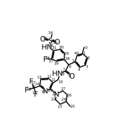 Cc1cccc(C(C(=O)NCc2ccc(C(F)(F)F)nc2N2CCC(C)CC2)c2ccc(NS(C)(=O)=O)c(F)c2)c1